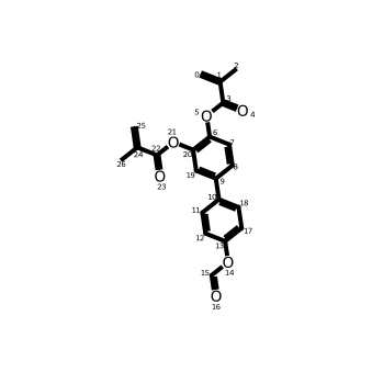 C=C(C)C(=O)Oc1ccc(-c2ccc(OC=O)cc2)cc1OC(=O)C(=C)C